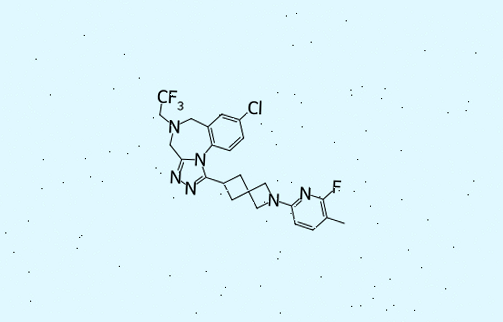 Cc1ccc(N2CC3(CC(c4nnc5n4-c4ccc(Cl)cc4CN(CC(F)(F)F)C5)C3)C2)nc1F